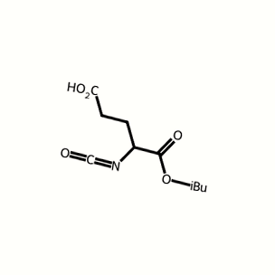 CCC(C)OC(=O)C(CCC(=O)O)N=C=O